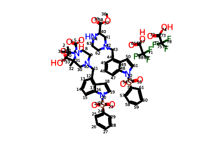 CC(C)(C)[N+]1(C(=O)O)CCN(Cc2cccc3c2ccn3S(=O)(=O)c2ccccc2)CC1(C)C(=O)O.COC(=O)C1CN(Cc2cccc3c2ccn3S(=O)(=O)c2ccccc2)CCN1.O=C(O)C(F)(F)F.O=C(O)C(F)(F)F